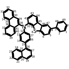 c1ccc(-c2ccc3sc4c(N(c5ccc(-c6cccc7ccccc67)cc5)c5cc6ccccc6c6ccccc56)cccc4c3c2)cc1